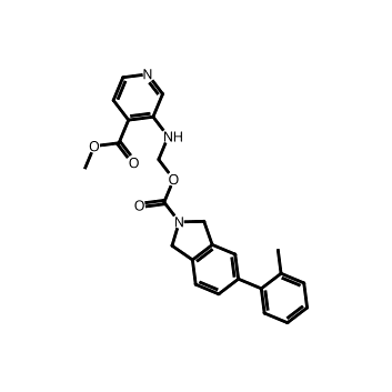 COC(=O)c1ccncc1NCOC(=O)N1Cc2ccc(-c3ccccc3C)cc2C1